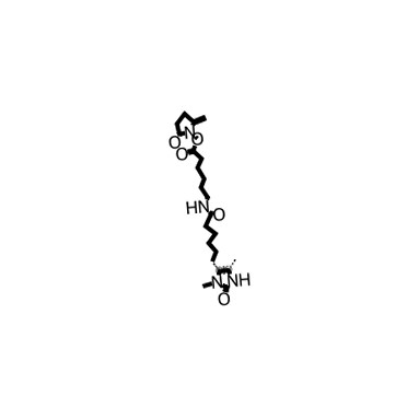 C=C1CCC(=O)N1OC(=O)CCCCCNC(=O)CCCCC[C@@H]1[C@H](C)NC(=O)N1C